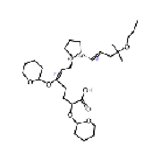 CCCOC(C)(C)C/C=C/[C@H]1CCC[C@@H]1C/C=C(\CCC(OC1CCCCO1)C(=O)O)OC1CCCCO1